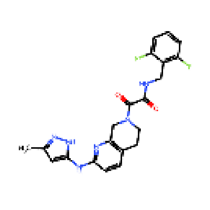 Cc1cc(Nc2ccc3c(n2)CN(C(=O)C(=O)NCc2c(F)cccc2F)CC3)[nH]n1